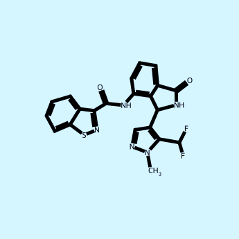 Cn1ncc(C2NC(=O)c3cccc(NC(=O)c4nsc5ccccc45)c32)c1C(F)F